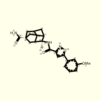 COc1cccc(-c2cc(C(=O)N[C@H]3C4CC5CC3C[C@](C(N)=O)(C5)C4)no2)c1